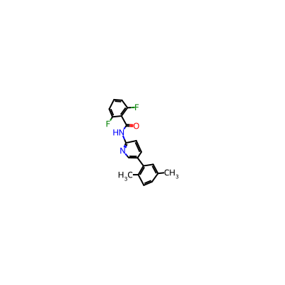 Cc1ccc(C)c(-c2ccc(NC(=O)c3c(F)cccc3F)nc2)c1